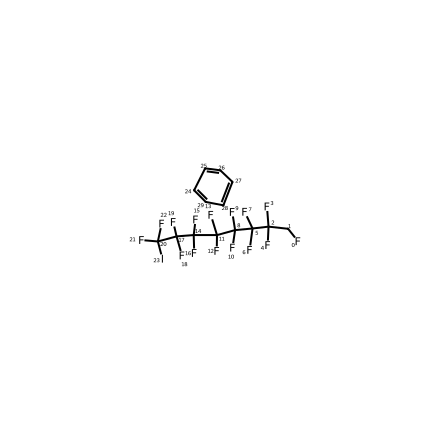 FCC(F)(F)C(F)(F)C(F)(F)C(F)(F)C(F)(F)C(F)(F)C(F)(F)I.c1ccccc1